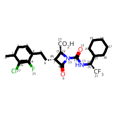 CC1CC=C(CC[C@H]2C(=O)N(C(=O)N[C@@H](C3CCCCC3)C(F)(F)F)[C@@H]2C(=O)O)C(F)=C1Cl